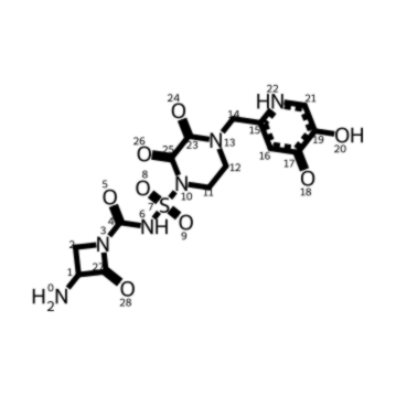 NC1CN(C(=O)NS(=O)(=O)N2CCN(Cc3cc(=O)c(O)c[nH]3)C(=O)C2=O)C1=O